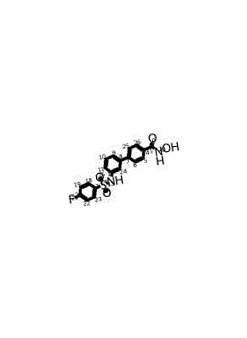 O=C(NO)c1ccc(-c2cccc(NS(=O)(=O)c3ccc(F)cc3)c2)cc1